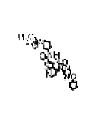 C=CC(=O)N1CCCC(NC(=O)c2sc3nccc4c3c2NC(=O)N4c2cnc(Oc3ccccc3)cn2)C1